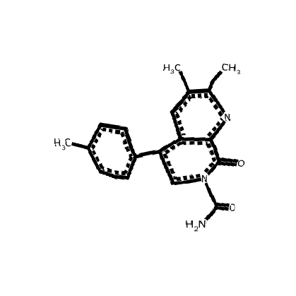 Cc1ccc(-c2cn(C(N)=O)c(=O)c3nc(C)c(C)cc23)cc1